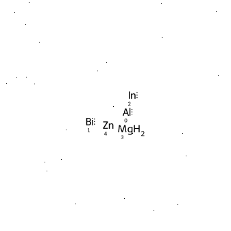 [Al].[Bi].[In].[MgH2].[Zn]